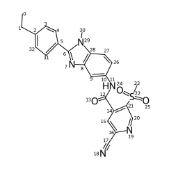 CCc1ccc(-c2nc3cc(NC(=O)c4cc(C#N)ncc4S(C)(=O)=O)ccc3n2C)cc1